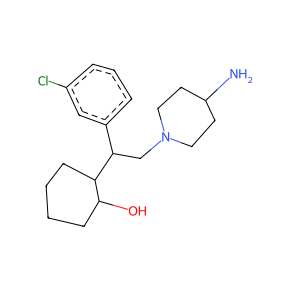 NC1CCN(CC(c2cccc(Cl)c2)C2CCCCC2O)CC1